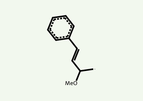 [CH2]C(C=Cc1ccccc1)OC